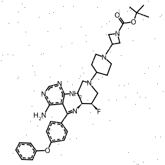 CC(C)(C)OC(=O)N1CC(N2CCC(N3CC[C@H](/N=C(/c4ccc(Oc5ccccc5)cc4)c4c(N)ncnc4N)[C@H](F)C3)CC2)C1